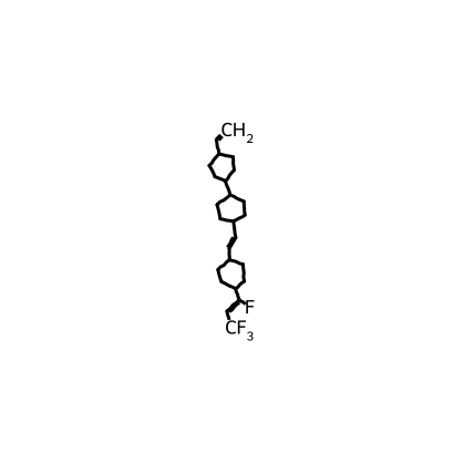 C=CC1CCC(C2CCC(/C=C/C3CCC(/C(F)=C/C(F)(F)F)CC3)CC2)CC1